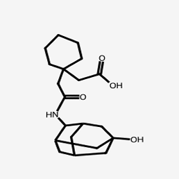 O=C(O)CC1(CC(=O)NC2C3CC4CC2CC(O)(C4)C3)CCCCC1